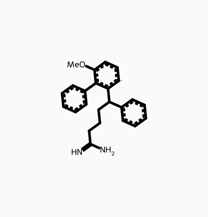 COc1cc[c]c(C(CCCC(=N)N)c2ccccc2)c1-c1ccccc1